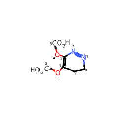 O=C(O)OC1=C(OC(=O)O)N=NCC1